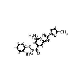 Cc1ccc(-c2nc3cc(C(=O)N(Cc4ccccc4)C(C)C)cc(N)n3n2)o1